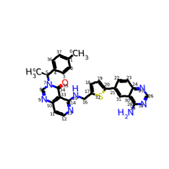 Cc1ccc([C@H](C)n2cnc3ccnc(NCc4ccc(-c5ccc6ncnc(N)c6c5)s4)c3c2=O)cc1